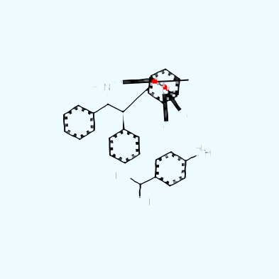 Cc1ccc(C(C)C)cc1.Cl.N[C@@H](c1ccccc1)[C@H](c1ccccc1)[N]1[Ru][S](=O)(=O)c2ccc(cc2)C1=O